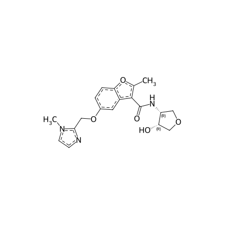 Cc1oc2ccc(OCc3nccn3C)cc2c1C(=O)N[C@@H]1COC[C@@H]1O